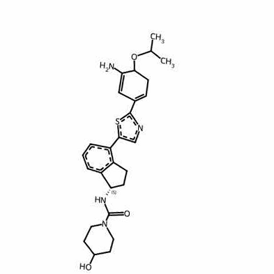 CC(C)OC1CC=C(c2ncc(-c3cccc4c3CC[C@@H]4NC(=O)N3CCC(O)CC3)s2)C=C1N